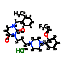 Cc1ccccc1Cn1ccc(=O)n(CCCN2CCN(c3ccccc3OCC(F)(F)F)CC2)c1=O.Cl